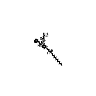 CCCCCCCCCCCCNC(=O)CCCOc1ccc(NN(CCc2ccccc2)C(=O)CNC(=O)CCC(N)=O)cc1